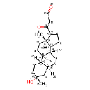 C[C@@]1(O)CC[C@H]2[C@@H](CC[C@@H]3[C@@H]2CC[C@]2(C)[C@@H](C(=O)CC=O)CC[C@@H]32)C1